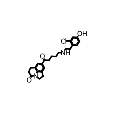 O=C(CCCCNCCc1ccc(O)cc1Cl)c1cc2c3c(c1)CCN3C(=O)CC2